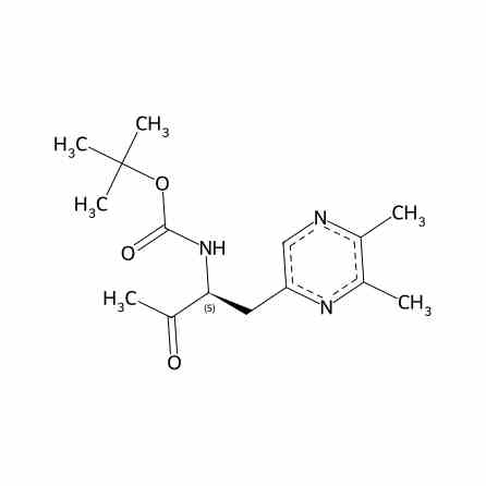 CC(=O)[C@H](Cc1cnc(C)c(C)n1)NC(=O)OC(C)(C)C